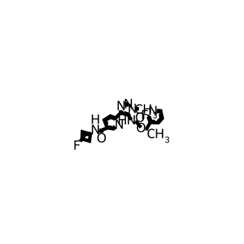 C[C@@H](OC(=O)Nc1c(-c2ccc(C(=O)NC34CC(F)(C3)C4)cn2)nnn1C)c1cccnc1F